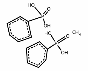 C.O=P(O)(O)c1ccccc1.O=P(O)(O)c1ccccc1